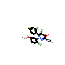 COc1ccc(Cl)c(-n2nc(C)c(=O)c(Cl)c2-c2ccc(F)cc2Cl)c1